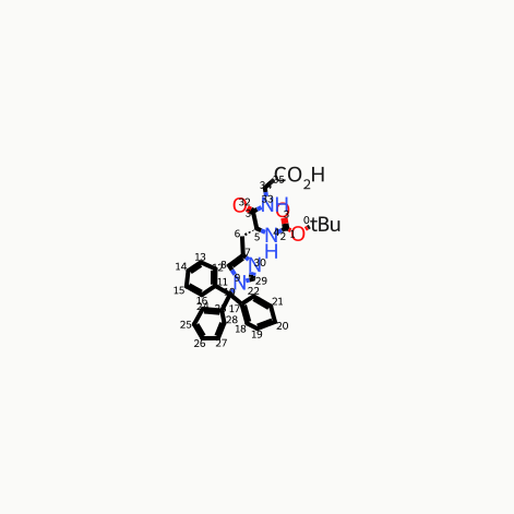 CC(C)(C)OC(=O)N[C@H](Cc1cn(C(c2ccccc2)(c2ccccc2)c2ccccc2)cn1)C(=O)NCC(=O)O